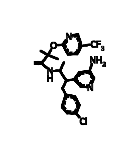 C=C(NC(C)C(Cc1ccc(Cl)cc1)c1cncc(N)c1)C(C)(C)Oc1ccc(C(F)(F)F)cn1